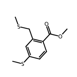 COC(=O)c1ccc(SC)cc1CSC